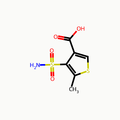 Cc1scc(C(=O)O)c1S(N)(=O)=O